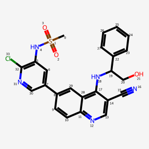 CS(=O)(=O)Nc1cc(-c2ccc3ncc(C#N)c(NC(CO)c4ccccc4)c3c2)cnc1Cl